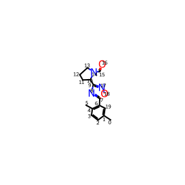 Cc1ccc(C)c(-c2nc(C3CCCN3C=O)no2)c1